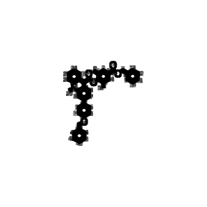 Cc1cc(C(=O)OCc2ccccc2)cc(C)c1OC(=O)C1c2ccccc2N(C)c2cc(-c3ccc(OCc4ccccc4)cc3)ccc21